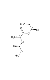 C=C[C@@H](CC)OC(=O)[C@H](C)NC(=O)OC(C)(C)C